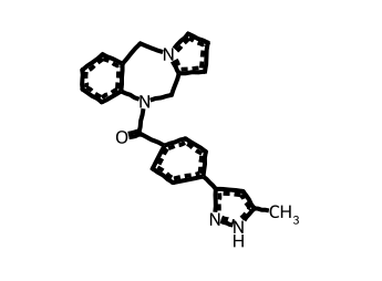 Cc1cc(-c2ccc(C(=O)N3Cc4cccn4Cc4ccccc43)cc2)n[nH]1